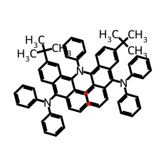 CC(C)(C)c1ccc2c(N(c3ccccc3)c3c4ccccc4c(N(c4ccccc4)c4ccccc4)c4ccc(C(C)(C)C)cc34)c3ccccc3c(N(c3ccccc3)c3ccccc3)c2c1